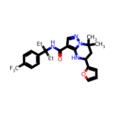 CCC(CC)(NC(=O)c1cnn2c1NC(c1ccco1)CC2(C)C)c1ccc(C(F)(F)F)cc1